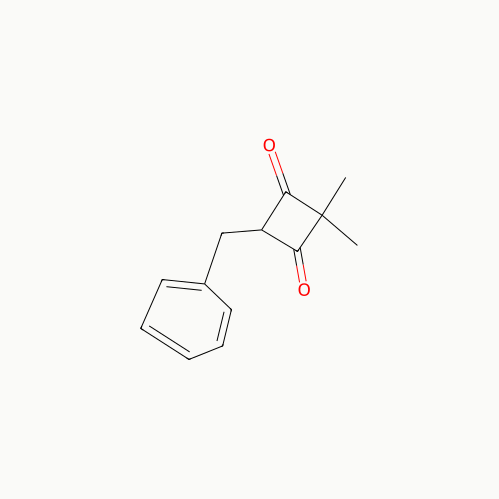 CC1(C)C(=O)C(Cc2ccccc2)C1=O